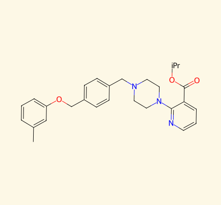 Cc1cccc(OCc2ccc(CN3CCN(c4ncccc4C(=O)OC(C)C)CC3)cc2)c1